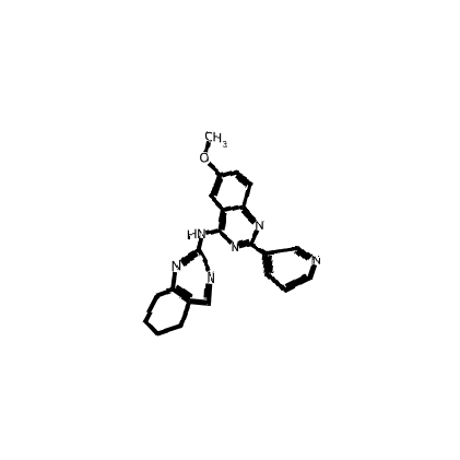 COc1ccc2nc(-c3cccnc3)nc(Nc3ncc4c(n3)CCCC4)c2c1